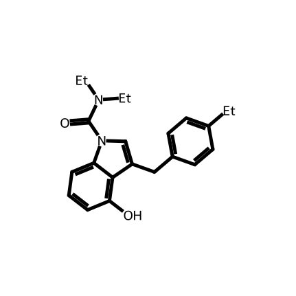 CCc1ccc(Cc2cn(C(=O)N(CC)CC)c3cccc(O)c23)cc1